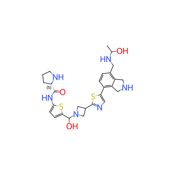 CC(O)NCc1ccc(-c2cnc(C3CN(C(O)c4ccc(NC(=O)[C@@H]5CCCN5)s4)C3)s2)c2c1CNC2